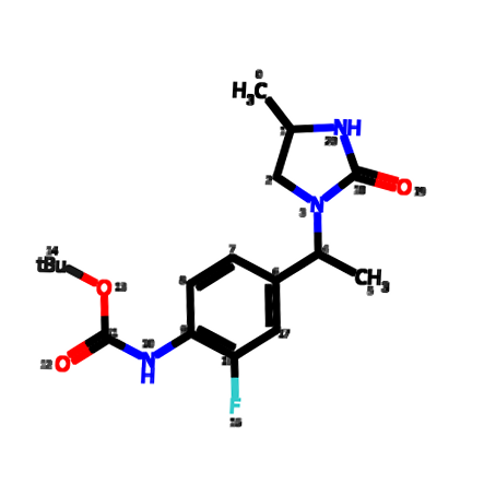 CC1CN(C(C)c2ccc(NC(=O)OC(C)(C)C)c(F)c2)C(=O)N1